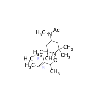 C/C=C\C(=C/C)C(C)ON1C(C)(C)CC(N(C)C(C)=O)CC1(C)C